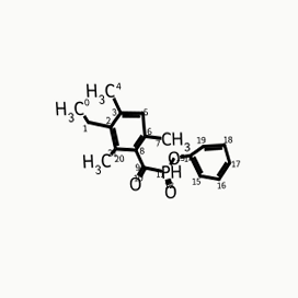 CCc1c(C)cc(C)c(C(=O)[PH](=O)Oc2ccccc2)c1C